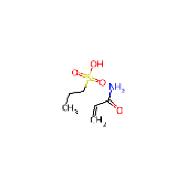 C=CC(N)=O.CCCS(=O)(=O)O